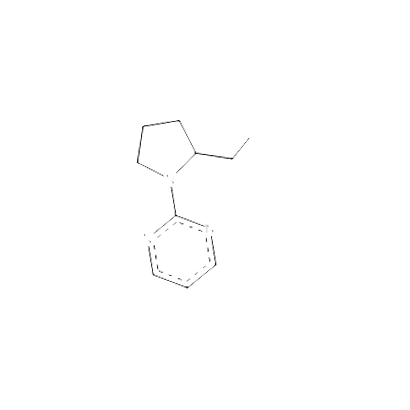 CCC1CCCN1c1ncccn1